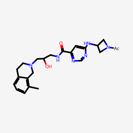 CC(=O)N1CC(Nc2cc(C(=O)NCC(O)CN3CCc4cccc(C)c4C3)ncn2)C1